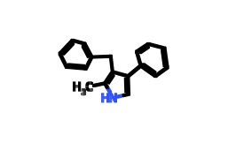 Cc1[nH]cc(-c2ccccc2)c1Cc1ccccc1